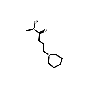 CCCCN(C)C(=O)CCCN1CCCCC1